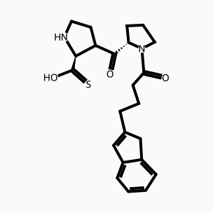 O=C(C1CCN[C@@H]1C(O)=S)[C@@H]1CCCN1C(=O)CCCC1=Cc2ccccc2C1